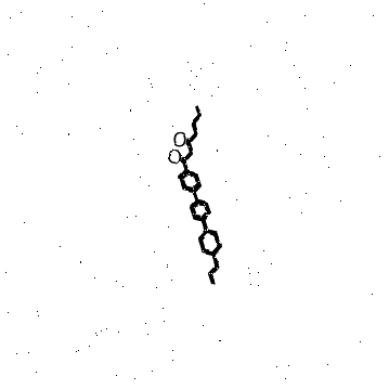 CCCCC(=O)CC(=O)c1ccc(-c2ccc(C3CCC(CCC)CC3)cc2)cc1